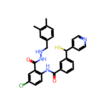 Cc1ccc(CNNC(=O)c2cc(Cl)ccc2NC(=O)c2cccc(C(S)c3ccncc3)c2)cc1C